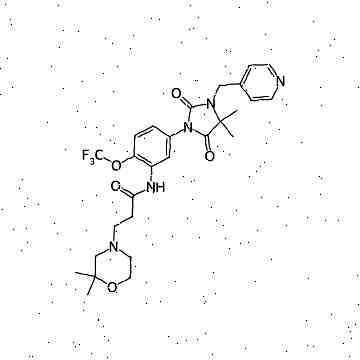 CC1(C)CN(CCC(=O)Nc2cc(N3C(=O)N(Cc4ccncc4)C(C)(C)C3=O)ccc2OC(F)(F)F)CCO1